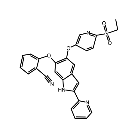 CCS(=O)(=O)c1ccc(Oc2cc3cc(-c4ccccn4)[nH]c3cc2Oc2ccccc2C#N)cn1